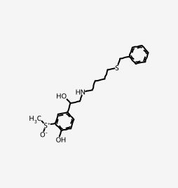 C[S+]([O-])c1cc(C(O)CNCCCCSCc2ccccc2)ccc1O